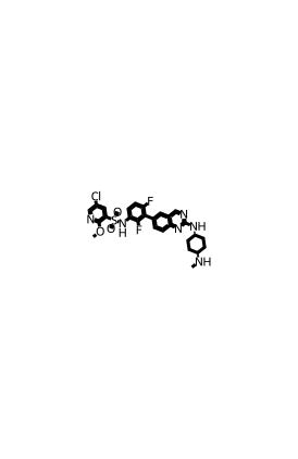 CN[C@H]1CC[C@H](Nc2ncc3cc(-c4c(F)ccc(NS(=O)(=O)c5cc(Cl)cnc5OC)c4F)ccc3n2)CC1